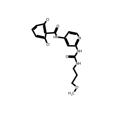 COCCCNC(=O)Nc1cc(NC(=O)c2c(Cl)cccc2Cl)ccn1